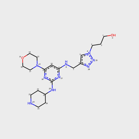 OCCCn1cc(CNc2cc(N3CCOCC3)nc(NC3CCNCC3)n2)nn1